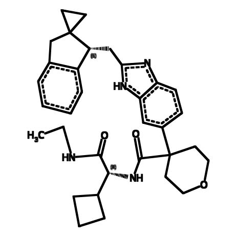 CCNC(=O)[C@H](NC(=O)C1(c2ccc3nc(C[C@@H]4c5ccccc5CC45CC5)[nH]c3c2)CCOCC1)C1CCC1